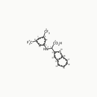 O=C(O)C(Nc1cc(C(F)(F)F)cc(C(F)(F)F)c1)c1cc2ccccc2s1